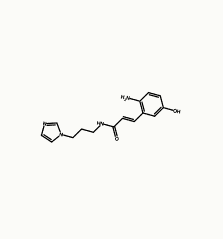 Nc1ccc(O)cc1C=CC(=O)NCCCn1ccnc1